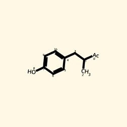 CC(=O)C(C)Cc1ccc(O)cc1